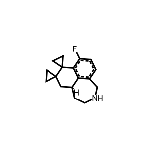 Fc1ccc2c3c1C1(CC1)C1(CC1)C[C@H]3CCNC2